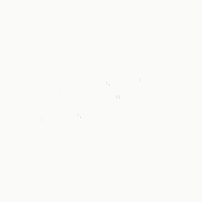 CC(=O)Nc1cn(C(C)(C)C)nc1C